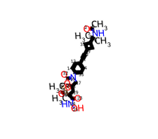 CC(=O)NC(C)(C)C1CC(C#Cc2ccc(N3CC(CC(C)(C(=O)NO)S(C)(=O)=O)OC3=O)cc2)C1